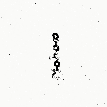 CC(C)[C@@H](COc1ccc(-c2nc3ccccc3s2)cn1)Nc1ccc(C(=O)NCCC(=O)O)cc1